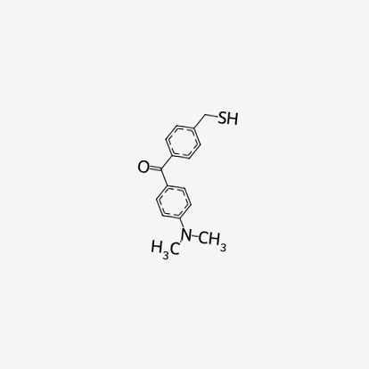 CN(C)c1ccc(C(=O)c2ccc(CS)cc2)cc1